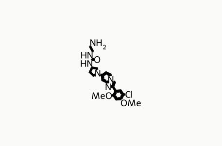 COc1cc(OC)c(-c2cn3ccc(N4CCC(NC(=O)NCCN)C4)cc3n2)cc1Cl